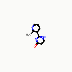 Cc1ncccc1-c1nc(=O)cc[nH]1